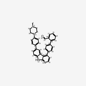 CN1CCN(c2ccc(-c3ccc4[nH]c5nccc(-c6ccc(-c7ccccc7C=O)cc6)c5c4c3)cc2)CC1